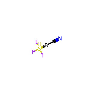 N#CB=[SH](I)(I)I